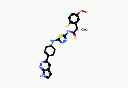 CO[C@H](C(=O)Nc1nnc(N[C@@H]2CC=C(c3cc4cc[nH]c4nn3)CC2)s1)c1cc(OC(F)(F)F)ccc1F